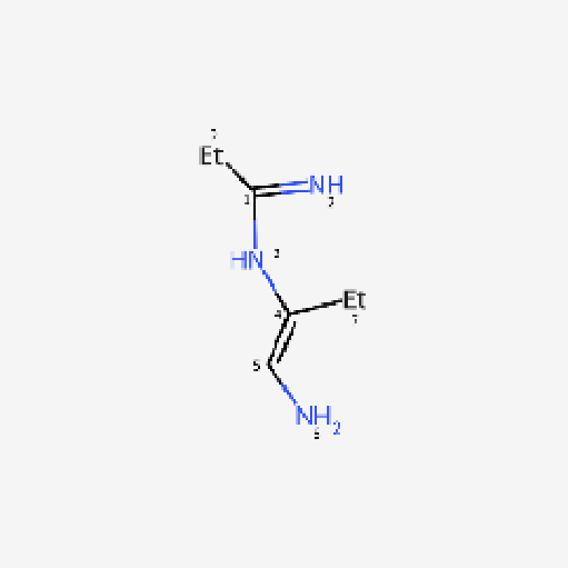 CCC(=N)N/C(=C/N)CC